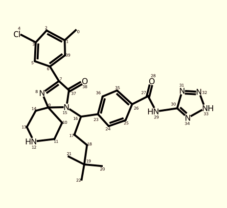 Cc1cc(Cl)cc(C2=NC3(CCNCC3)N(C(CCC(C)(C)C)c3ccc(C(=O)Nc4nn[nH]n4)cc3)C2=O)c1